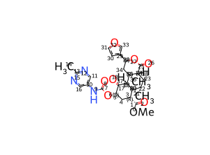 COC(=O)[C@@H]1C[C@H](OC(=O)Nc2cnc(C)nc2)C(=O)[C@H]2[C@@]1(C)CC[C@H]1C(=O)O[C@H](c3ccoc3)C[C@]21C